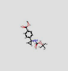 COC(=O)c1ccc(C2(NC(=O)OC(C)(C)C)CC2)cc1